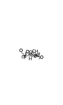 CC(CC(=O)OCc1ccccc1)[C@H](N)C(=O)NC(CC(F)(F)C(=O)CCc1ccccc1)c1ccccc1